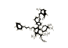 Cc1cccc(Cl)c1CN1CCc2cc(-c3c(CNCCCc4ccccc4)nc(C)c(C(OC(C)(C)C)C(=O)O)c3N3CCC(C)(C)CC3)ccc2C1